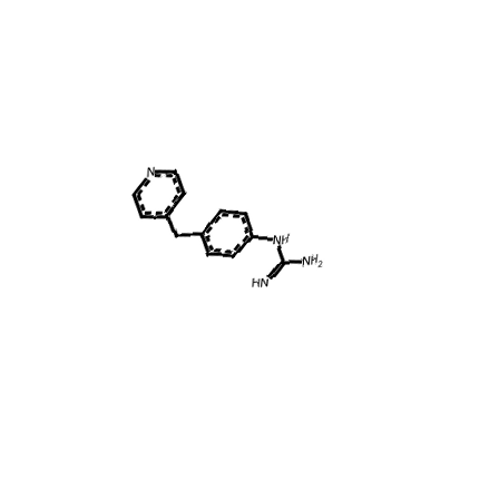 N=C(N)Nc1ccc(Cc2ccncc2)cc1